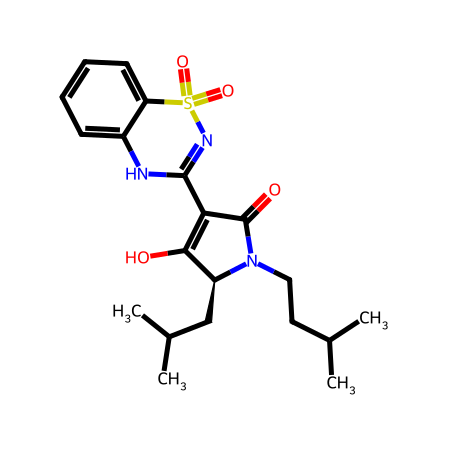 CC(C)CCN1C(=O)C(C2=NS(=O)(=O)c3ccccc3N2)=C(O)[C@@H]1CC(C)C